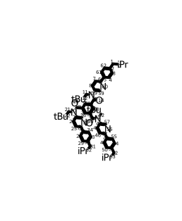 CC(C)Cc1ccc(-c2ccc(N(CC(C)(C)C)C(=O)c3cc(C(=O)N(CC(C)(C)C)c4ccc(-c5ccc(CC(C)C)cc5)nc4)cc(C(=O)N(CC(C)(C)C)c4ccc(-c5ccc(CC(C)C)cc5)nc4)c3)cn2)cc1